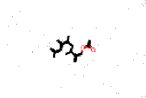 CC(=O)OCC(C)C(C)CC(C)C(C)CC(C)C